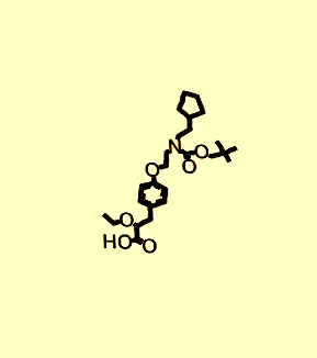 CCOC(Cc1ccc(OCCN(CCC2CCCC2)C(=O)OCC(C)(C)C)cc1)C(=O)O